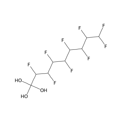 OC(O)(O)C(F)C(F)C(F)C(F)C(F)C(F)C(F)C(F)F